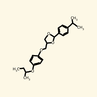 CCC(C)Oc1ccc(OCC2COC(c3ccc(C(C)C)cc3)O2)cc1